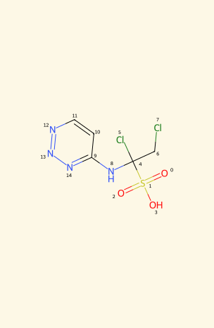 O=S(=O)(O)C(Cl)(CCl)Nc1ccnnn1